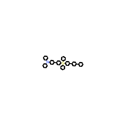 c1ccc(-c2ccc(-c3ccc(S(c4ccccc4)(c4ccccc4)c4ccc(-c5ccc(N(c6ccccc6)c6ccccc6)cc5)cc4)cc3)cc2)cc1